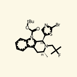 C[C@@H]1Cc2c(n(C(=O)OC(C)(C)C)c3ccccc23)[C@@H](c2cnc(Br)s2)N1CC(C)(C)F